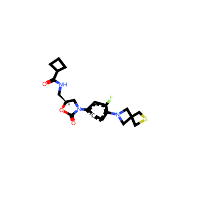 O=C(NC[C@H]1CN(c2ccc(N3CC4(CSC4)C3)c(F)c2)C(=O)O1)C1CCC1